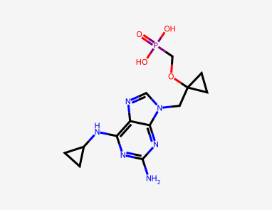 Nc1nc(NC2CC2)c2ncn(CC3(OCP(=O)(O)O)CC3)c2n1